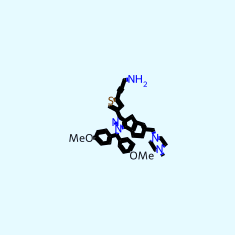 COc1ccc(C(c2ccc(OC)cc2)n2nc(-c3csc(C#CCN)c3)c3c2-c2ccc(CN4CCN(C)CC4)cc2C3)cc1